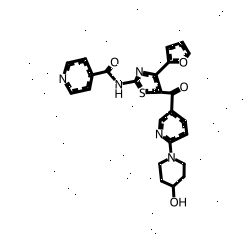 O=C(Nc1nc(-c2ccco2)c(C(=O)c2ccc(N3CCC(O)CC3)nc2)s1)c1ccncc1